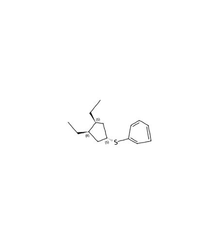 CC[C@@H]1C[C@@H](Sc2ccccc2)C[C@@H]1CC